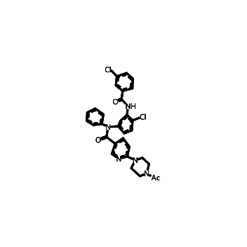 CC(=O)N1CCN(c2ccc(C(=O)N(c3ccccc3)c3ccc(Cl)c(NC(=O)c4cccc(Cl)c4)c3)cn2)CC1